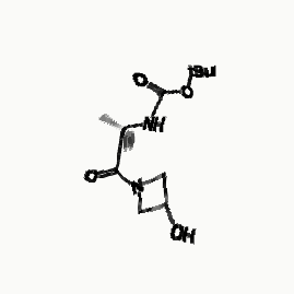 C[C@H](NC(=O)OC(C)(C)C)C(=O)N1CC(O)C1